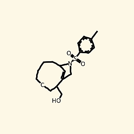 Cc1ccc(S(=O)(=O)N2CC3=CC2CCCCCCC3CO)cc1